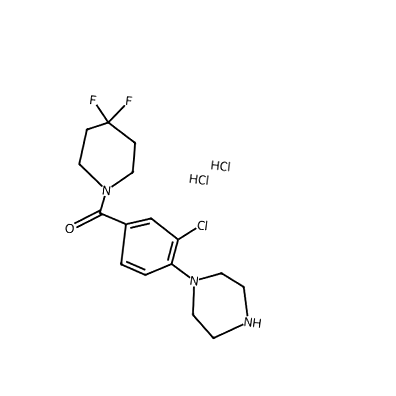 Cl.Cl.O=C(c1ccc(N2CCNCC2)c(Cl)c1)N1CCC(F)(F)CC1